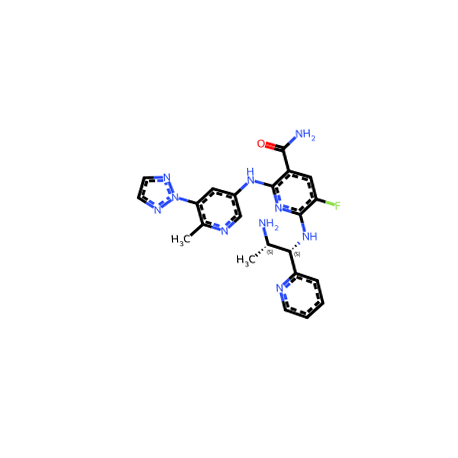 Cc1ncc(Nc2nc(N[C@H](c3ccccn3)[C@H](C)N)c(F)cc2C(N)=O)cc1-n1nccn1